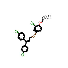 CCOC(=O)COc1ccc(SCC=C(c2ccc(Cl)cc2)c2ccc(Cl)cc2)cc1Cl